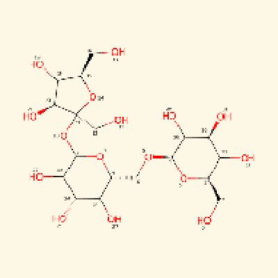 OC[C@H]1O[C@@H](OC[C@H]2OC(O[C@]3(CO)O[C@H](CO)C(O)[C@@H]3O)C(O)[C@@H](O)C2O)C(O)[C@@H](O)C1O